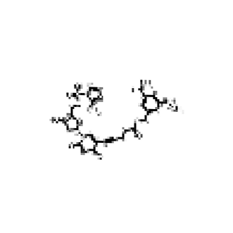 CNc1cc(COC(=O)CCC#Cc2cn([C@H]3CC(O)[C@@H](COP(=O)(O)n4ccnc4C)O3)c(=O)[nH]c2=O)cc(NC)c1